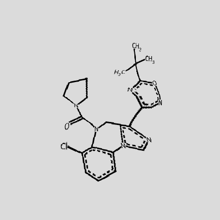 CC(C)(C)c1nc(-c2ncn3c2CN(C(=O)N2CCCC2)c2c(Cl)cccc2-3)no1